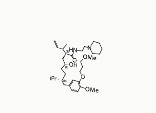 C=CC(C)[C@H](C[C@H](O)CC[C@H](Cc1ccc(OC)c(OCCCOC)c1)C(C)C)C(=O)NCCN1CCCCC1